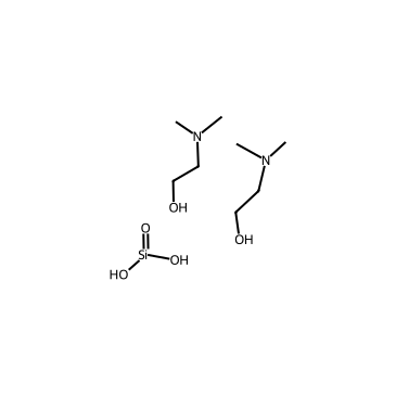 CN(C)CCO.CN(C)CCO.O=[Si](O)O